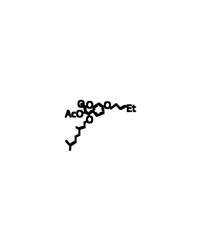 CC/C=C/CCOc1ccc2c(OC/C=C(\C)CCC=C(C)C)c(OC(C)=O)c(=O)oc2c1